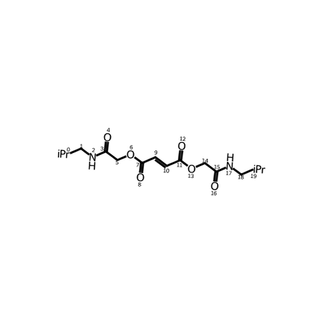 CC(C)CNC(=O)COC(=O)/C=C/C(=O)OCC(=O)NCC(C)C